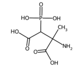 CC(N)(C(=O)O)C(C(=O)O)P(=O)(O)O